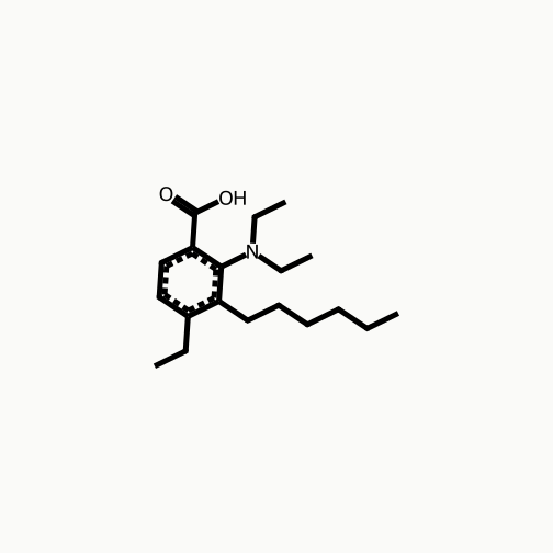 CCCCCCc1c(CC)ccc(C(=O)O)c1N(CC)CC